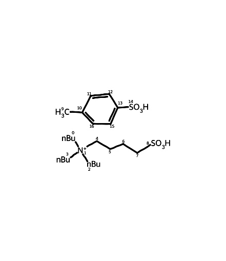 CCCC[N+](CCCC)(CCCC)CCCCS(=O)(=O)O.Cc1ccc(S(=O)(=O)O)cc1